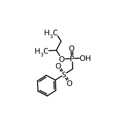 CCC(C)OP(=O)(O)CS(=O)(=O)c1ccccc1